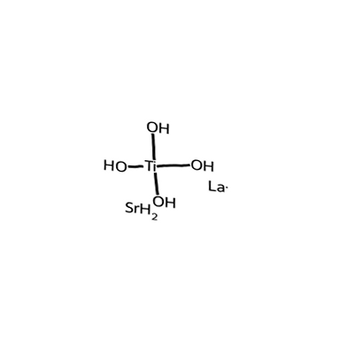 [La].[OH][Ti]([OH])([OH])[OH].[SrH2]